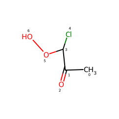 CC(=O)C(Cl)OO